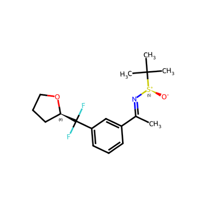 CC(=N[S@+]([O-])C(C)(C)C)c1cccc(C(F)(F)[C@H]2CCCO2)c1